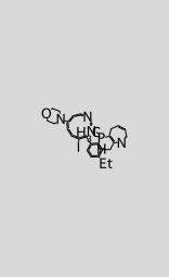 CCc1ccc(-c2ncnccc(N3CCOCC3)ccc2I)cc1CC1=C(PC)CC=CC=N1